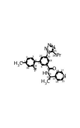 Cc1ccc(-c2cc(C(=O)NC(C)c3ccncc3)cc(-n3nnnc3C(C)C)c2)c(F)c1